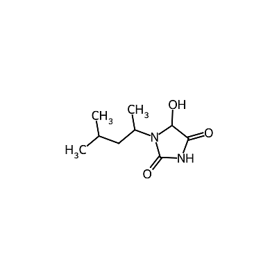 CC(C)CC(C)N1C(=O)NC(=O)C1O